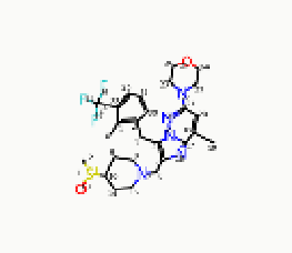 Cc1c(Cc2c(CN3CCC([S+](C)[O-])CC3)nc3c(C)cc(N4CCOCC4)nn23)cccc1C(F)(F)F